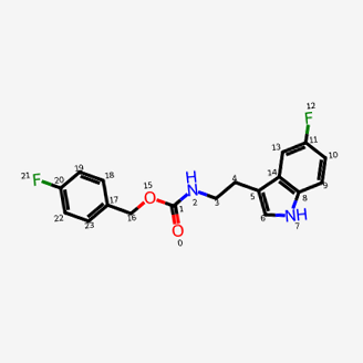 O=C(NCCc1c[nH]c2ccc(F)cc12)OCc1ccc(F)cc1